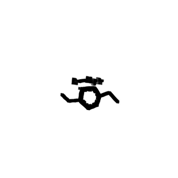 CCc1[c]cc(CC)cc1.[Br][Mg][Br]